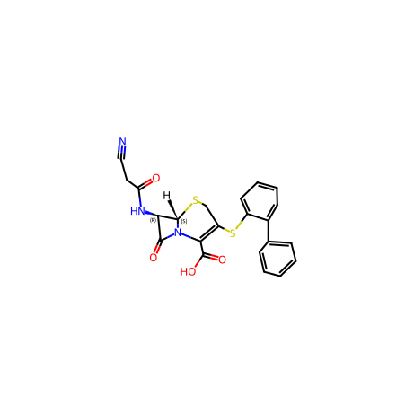 N#CCC(=O)N[C@@H]1C(=O)N2C(C(=O)O)=C(Sc3ccccc3-c3ccccc3)CS[C@@H]12